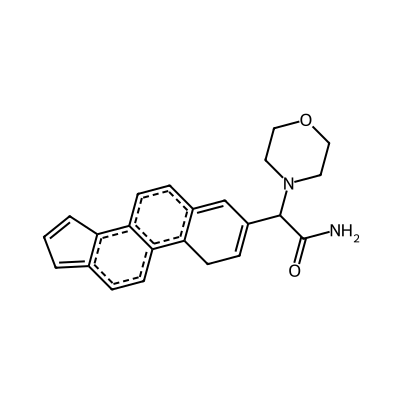 NC(=O)C(C1=CCc2c(ccc3c4c(ccc23)=CC=C4)=C1)N1CCOCC1